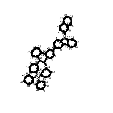 CC1c2ccc(-c3ccc4c(c3)c3ccccc3n4-c3ccc4ccccc4c3)cc2-c2ccccc2C1c1cccc([Si](c2ccccc2)(c2ccccc2)c2ccccc2)c1